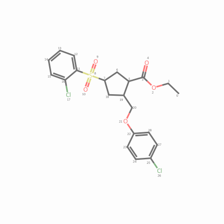 CCOC(=O)C1CC(S(=O)(=O)c2ccccc2Cl)CC1COc1ccc(Cl)cc1